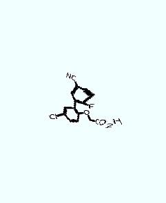 N#Cc1ccc(F)c(-c2cc(Cl)ccc2OCC(=O)O)c1